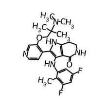 Cc1c(F)cc(F)cc1Nc1c(-c2ccncc2OCC(C)(C)N(C)C)[nH]c2c1C(=O)NCC2